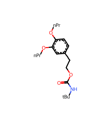 CCCOc1ccc(CCOC(=O)NC(C)(C)C)cc1OCCC